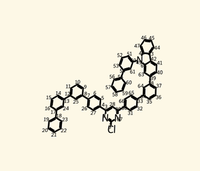 Clc1nc(-c2ccc(-c3cccc(-c4cccc(-c5ccccc5)c4)c3)cc2)cc(-c2ccc(-c3cccc(-c4ccc5c6ccccc6n(-c6cccc(-c7ccccc7)c6)c5c4)c3)cc2)n1